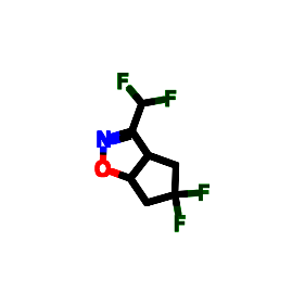 FC(F)C1=NOC2CC(F)(F)CC12